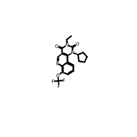 CCn1c(=O)c2cnc3c(OC(F)(F)F)cccc3c2n(C2CCCC2)c1=O